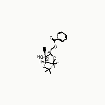 C#C[C@@]1(O)[C@@H](COC(=O)c2ccccc2)O[C@@H]2OC(C)(C)O[C@@H]21